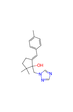 Cc1ccc(/C=C2\CCC(C)(C)C2(O)Cn2cncn2)cc1